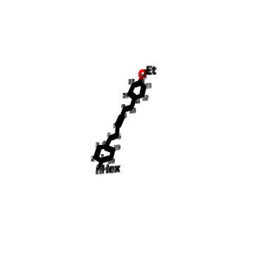 CCCCCCc1ccc(C=CC#CC=Cc2ccc(OCC)cc2)cc1